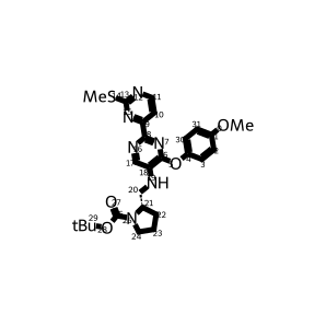 COc1ccc(Oc2nc(-c3ccnc(SC)n3)ncc2NC[C@@H]2CCCN2C(=O)OC(C)(C)C)cc1